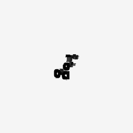 [C].[O-2].[O-2].[Ti+4]